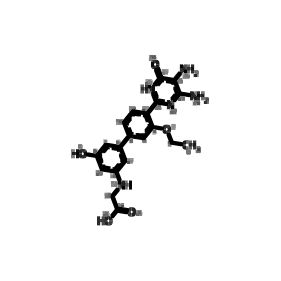 CCOc1cc(-c2cc(O)cc(NCC(=O)O)c2)ccc1-c1nc(N)c(N)c(=O)[nH]1